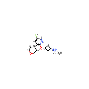 O=C(O)N[C@H]1C[C@H](Oc2ncc(F)cc2C2CCOCC2)C1